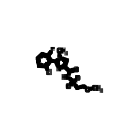 COCCS(=O)(=O)NC(=O)c1cn(C)c(-c2c(F)cccc2Cl)n1